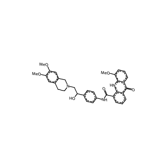 COc1cc2c(cc1OC)CN(CC(O)c1ccc(NC(=O)c3cccc4c(=O)c5cccc(OC)c5[nH]c34)cc1)CC2